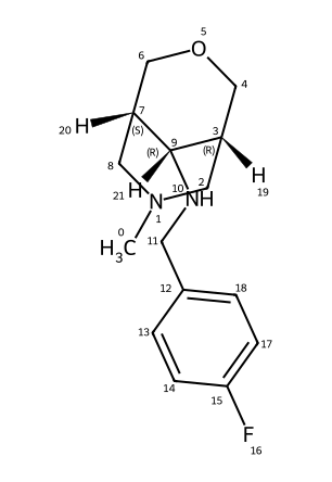 CN1C[C@H]2COC[C@@H](C1)[C@H]2NCc1ccc(F)cc1